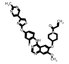 C=CC(=O)N1CCC(Oc2cc3c(Nc4ccc(Oc5nc(-c6cnc(C)nc6)cs5)cc4F)ncnc3cc2OC)CC1